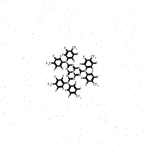 Fc1c(F)c(C(F)(F)F)c(F)c(F)c1N(C1=NC2=NC(N(c3c(F)c(F)c(C(F)(F)F)c(F)c3F)c3c(F)c(F)c(C(F)(F)F)c(F)c3F)=NC3=NC(N(c4c(F)c(F)c(C(F)(F)F)c(F)c4F)c4c(F)c(F)c(C(F)(F)F)c(F)c4F)=NC(=N1)N23)c1c(F)c(F)c(C(F)(F)F)c(F)c1F